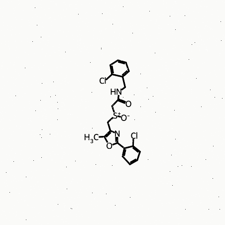 Cc1oc(-c2ccccc2Cl)nc1C[S+]([O-])CC(=O)NCc1ccccc1Cl